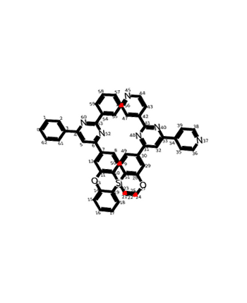 c1ccc(-c2cc(-c3ccc4c(c3)Oc3ccccc3[Si]43c4ccccc4Oc4cc(-c5cc(-c6ccncc6)nc(-c6ccncc6)n5)ccc43)nc(-c3ccccc3)n2)cc1